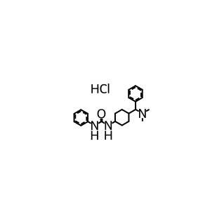 CN(C)C(c1ccccc1)C1CCC(NC(=O)Nc2ccccc2)CC1.Cl